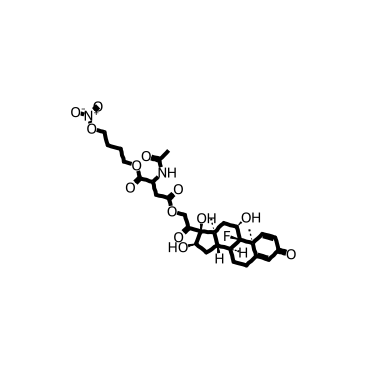 CC(=O)NC(CC(=O)OCC(=O)[C@@]1(O)[C@H](O)C[C@H]2[C@@H]3CCC4=CC(=O)C=C[C@]4(C)[C@@]3(F)[C@@H](O)C[C@@]21C)C(=O)OCCCCO[N+](=O)[O-]